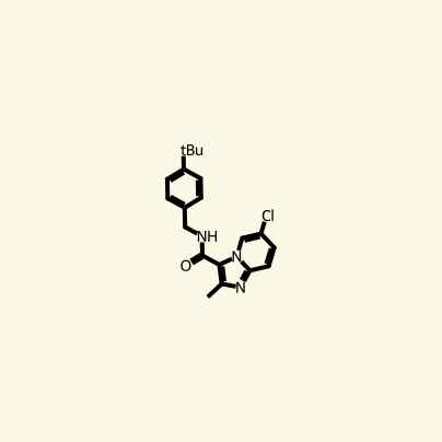 Cc1nc2ccc(Cl)cn2c1C(=O)NCc1ccc(C(C)(C)C)cc1